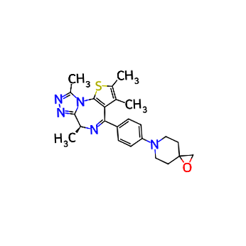 Cc1sc2c(c1C)C(c1ccc(N3CCC4(CC3)CO4)cc1)=N[C@@H](C)c1nnc(C)n1-2